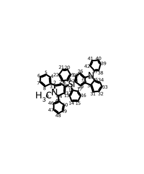 CN1C(c2ccccc2)=CC([Si](c2ccccc2)(c2ccccc2)c2ccc3c(c2)c2ccccc2n3-c2ccccc2)=CC1c1ccccc1